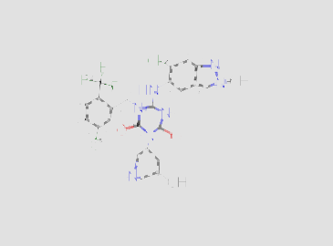 Cc1cncc(-n2c(=O)nc(Nc3cc4cn(C)nc4cc3Cl)n(Cc3cc(Cl)ccc3C(F)(F)F)c2=O)c1